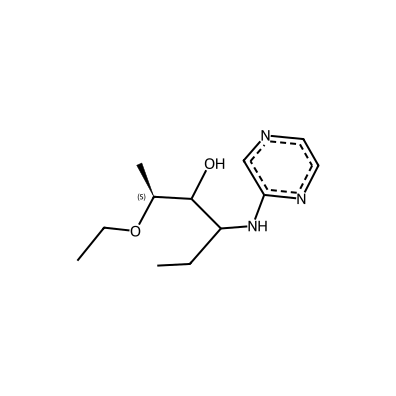 CCO[C@@H](C)C(O)C(CC)Nc1cnccn1